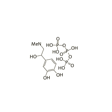 CNCC(O)c1ccc(O)c(O)c1.O=P(O)(O)OP(=O)(O)OP(=O)(O)O